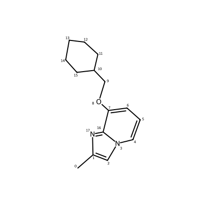 Cc1cn2cccc(OCC3CCCCC3)c2n1